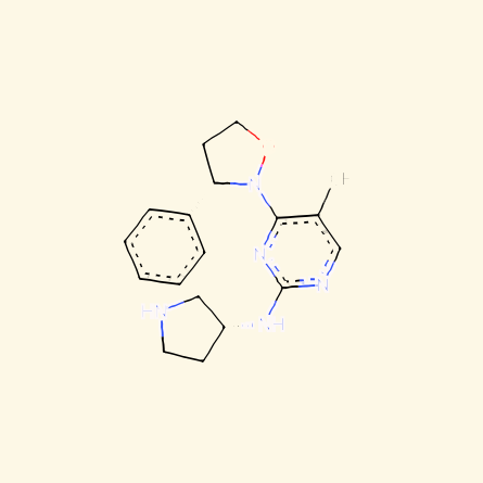 FC(F)(F)c1cnc(N[C@@H]2CCNC2)nc1N1OCC[C@H]1c1ccccc1